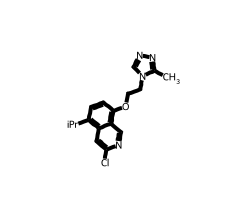 Cc1nncn1CCOc1ccc(C(C)C)c2cc(Cl)ncc12